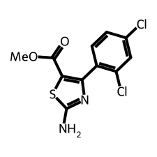 COC(=O)c1sc(N)nc1-c1ccc(Cl)cc1Cl